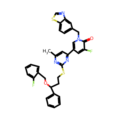 Cc1cc(-c2cc(F)c(=O)n(Cc3ccc4scnc4c3)c2)nc(SCCC(OCc2ccccc2F)c2ccccc2)n1